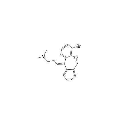 CN(C)CCC=C1c2ccccc2COc2c(Br)cccc21